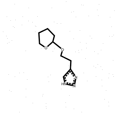 c1[nH]nnc1CCOC1CCCCO1